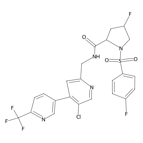 O=C(NCc1cc(-c2ccc(C(F)(F)F)nc2)c(Cl)cn1)C1CC(F)CN1S(=O)(=O)c1ccc(F)cc1